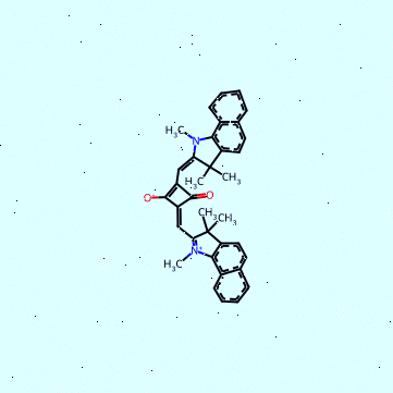 CN1/C(=C/C2=C([O-])C(=C/C3=[N+](C)c4c(ccc5ccccc45)C3(C)C)/C2=O)C(C)(C)c2ccc3ccccc3c21